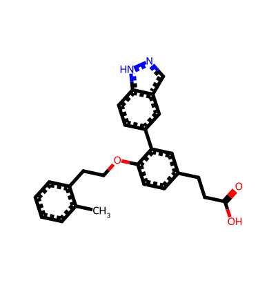 Cc1ccccc1CCOc1ccc(CCC(=O)O)cc1-c1ccc2[nH]ncc2c1